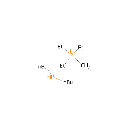 CCCCPCCCC.CC[PH](C)(CC)CC